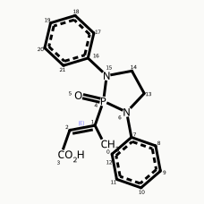 C/C(=C\C(=O)O)P1(=O)N(c2ccccc2)CCN1c1ccccc1